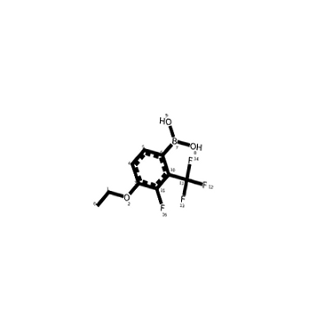 CCOc1ccc(B(O)O)c(C(F)(F)F)c1F